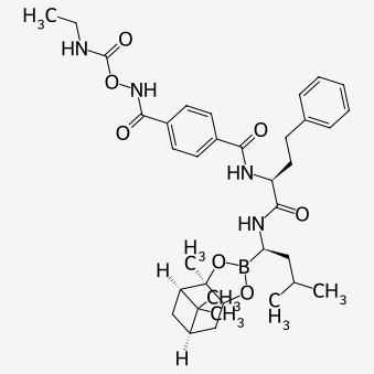 CCNC(=O)ONC(=O)c1ccc(C(=O)N[C@@H](CCc2ccccc2)C(=O)N[C@@H](CC(C)C)B2OC3C[C@H]4C[C@H](C4(C)C)[C@@]3(C)O2)cc1